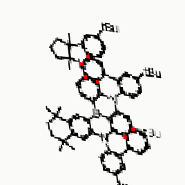 CC(C)(C)c1ccc(N2c3cc(N4c5ccc(C(C)(C)C)cc5C5(C)CCCC45C)ccc3B3c4cc5c(cc4N(c4ccc(C(C)(C)C)cc4-c4ccccc4)c4cc(C(C)(C)C)cc2c43)C(C)(C)CCC5(C)C)c(-c2ccccc2)c1